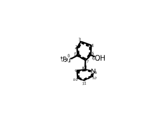 CC(C)(C)c1cccc(O)c1-c1ccccn1